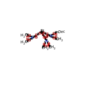 C=CC(=O)OCCN(CCOC(=O)C=C)CCC(=O)OCCOCC(CC)(COCCOC(=O)CCN(CCOC(=O)C=C)CCOC(=O)C=C)COCCOC(=O)CCN(CCOC(=O)C=C)CCOC(=O)CCCCCCCCCCC